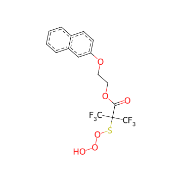 O=C(OCCOc1ccc2ccccc2c1)C(SOOO)(C(F)(F)F)C(F)(F)F